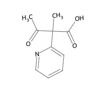 CC(=O)C(C)(C(=O)O)c1ccccn1